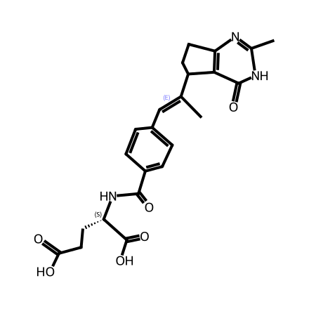 C/C(=C\c1ccc(C(=O)N[C@@H](CCC(=O)O)C(=O)O)cc1)C1CCc2nc(C)[nH]c(=O)c21